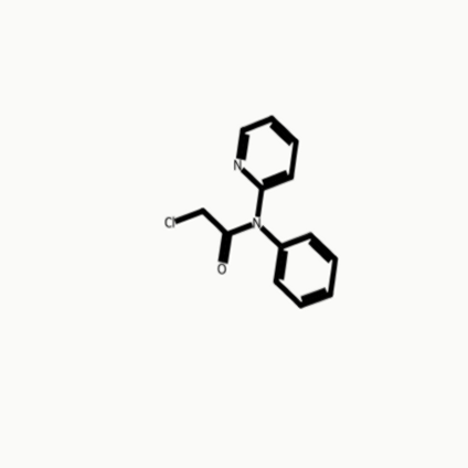 O=C(CCl)N(c1ccccc1)c1ccccn1